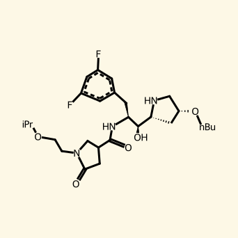 CCCCO[C@H]1CN[C@@H]([C@@H](O)[C@H](Cc2cc(F)cc(F)c2)NC(=O)C2CC(=O)N(CCOC(C)C)C2)C1